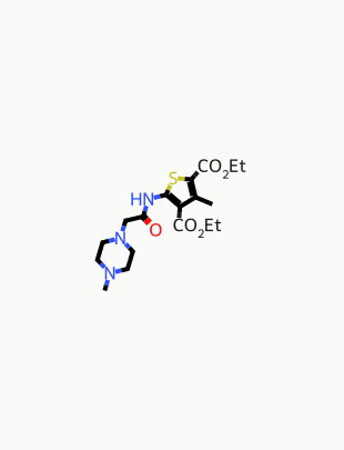 CCOC(=O)c1sc(NC(=O)CN2CCN(C)CC2)c(C(=O)OCC)c1C